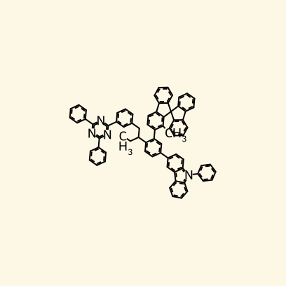 CCC(Cc1cccc(-c2nc(-c3ccccc3)nc(-c3ccccc3)n2)c1)c1ccc(-c2ccc3c(c2)c2ccccc2n3-c2ccccc2)cc1-c1ccc2c(c1C)C1(c3ccccc3-c3ccccc31)c1ccccc1-2